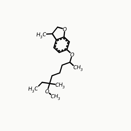 CCC(C)(CCCC(C)Oc1ccc2c(c1)OCC2C)OC